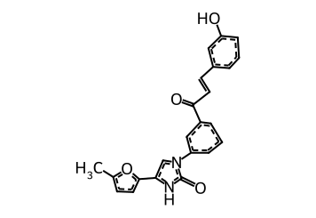 Cc1ccc(-c2cn(-c3cccc(C(=O)/C=C/c4cccc(O)c4)c3)c(=O)[nH]2)o1